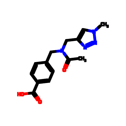 CC(=O)N(Cc1ccc(C(=O)O)cc1)Cc1cn(C)nn1